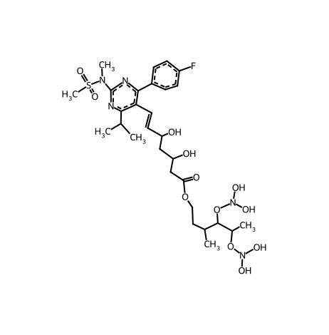 CC(C)c1nc(N(C)S(C)(=O)=O)nc(-c2ccc(F)cc2)c1/C=C/C(O)CC(O)CC(=O)OCCC(C)C(ON(O)O)C(C)ON(O)O